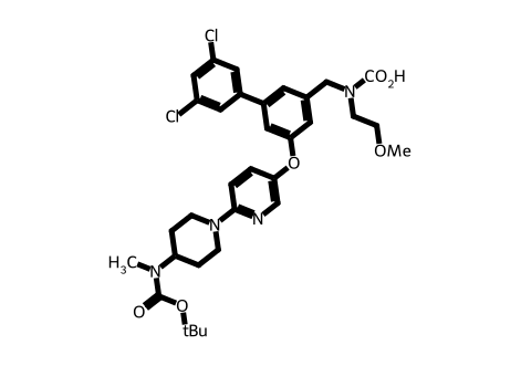 COCCN(Cc1cc(Oc2ccc(N3CCC(N(C)C(=O)OC(C)(C)C)CC3)nc2)cc(-c2cc(Cl)cc(Cl)c2)c1)C(=O)O